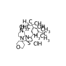 CN1CCN(C2(c3nc(-c4cc(C(C)(C)C)c(O)c(C(C)(C)C)c4)cs3)CCOCC2)CC1.Cl